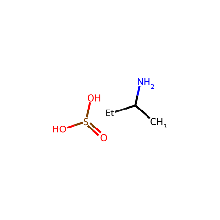 CCC(C)N.O=S(O)O